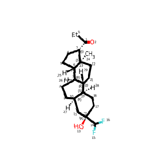 CCC(=O)[C@H]1CC[C@H]2[C@@H]3CC[C@@H]4C[C@@](O)(C(F)F)CC[C@@H]4[C@H]3CC[C@]12C